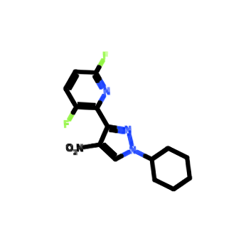 O=[N+]([O-])c1cn(C2CCCCC2)nc1-c1nc(F)ccc1F